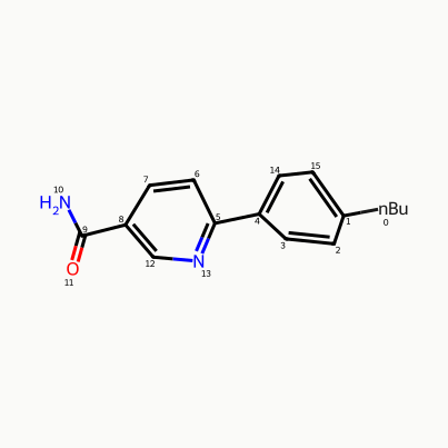 CCCCc1ccc(-c2ccc(C(N)=O)cn2)cc1